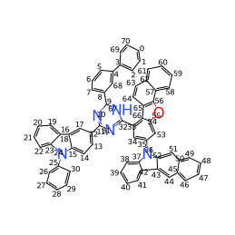 c1ccc(-c2cccc(C3N=C(c4ccc5c(c4)c4ccccc4n5-c4ccccc4)N=C(c4cc(-n5c6ccccc6c6cc7ccccc7cc65)cc5oc6c7ccccc7ccc6c45)N3)c2)cc1